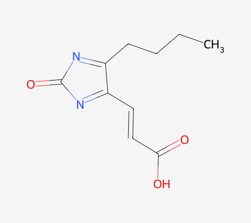 CCCCC1=NC(=O)N=C1C=CC(=O)O